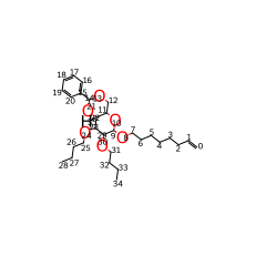 C=CCCCCCCO[C@@H]1OC2COC(c3ccccc3)O[C@H]2C(OCCCC)[C@@H]1OCCCC